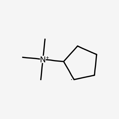 C[N+](C)(C)C1[CH]CCC1